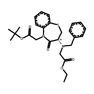 CCOC(=O)CN(Cc1ccccc1)[C@H]1CSc2ccccc2N(CC(=O)OC(C)(C)C)C1=O